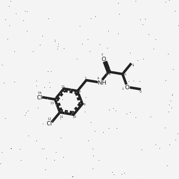 COC(C)C(=O)NCc1ccc(Cl)c(Cl)c1